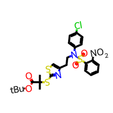 CC(C)(C)OC(=O)C(C)(C)Sc1nc(CCN(c2ccc(Cl)cc2)S(=O)(=O)c2ccccc2[N+](=O)[O-])cs1